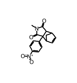 CN1C(=O)C2C3C=CC(C3)C2(c2ccc([N+](=O)[O-])cc2)C1=O